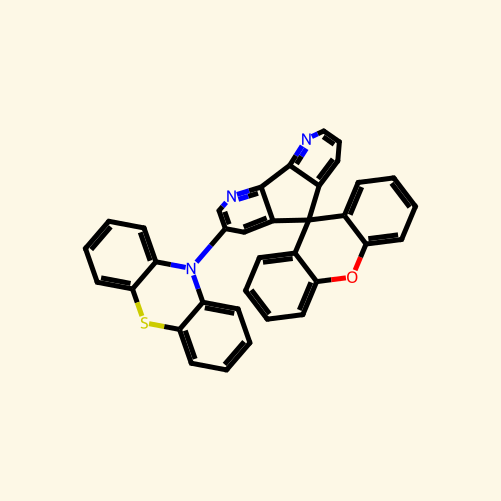 c1ccc2c(c1)Oc1ccccc1C21c2cccnc2-c2ncc(N3c4ccccc4Sc4ccccc43)cc21